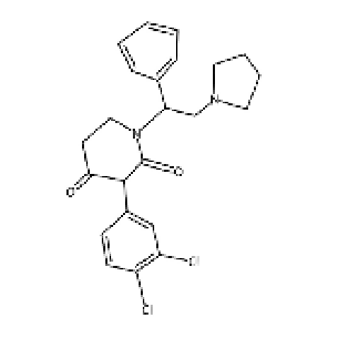 O=C1CCN(C(CN2CCCC2)c2ccccc2)C(=O)C1c1ccc(Cl)c(Cl)c1